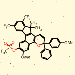 COc1ccc(C2(c3ccccc3)C=Cc3c4c(c5cc(OS(=O)(=O)C(F)(F)F)c(OC)cc5c3O2)-c2cc(C(F)(F)F)cc(C(F)(F)F)c2C4(C)C)cc1